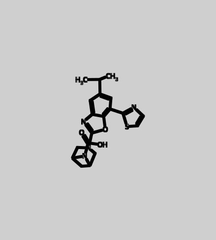 CC(C)c1cc(-c2nccs2)c2oc(N3CC4CC(C3)N4C(=O)O)nc2c1